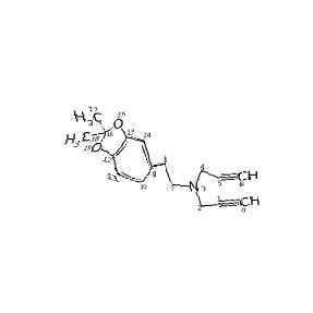 C#CCN(CC#C)CCc1ccc2c(c1)OC(C)(C)O2